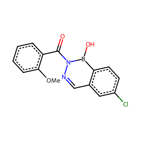 COc1ccccc1C(=O)N1N=Cc2cc(Cl)ccc2B1O